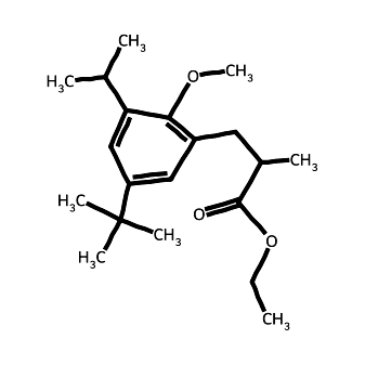 CCOC(=O)C(C)Cc1cc(C(C)(C)C)cc(C(C)C)c1OC